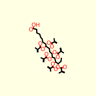 C=C(C)C(=O)OC(CC)C(CC(OC(=O)C(=C)C)C(CC(OC(=O)C(=C)C)C(CCCCCCCC(=O)O)OC(=O)C(=C)C)OC(=O)C(=C)C)OC(=O)C(=C)C